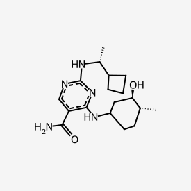 C[C@@H]1CCC(Nc2nc(N[C@H](C)C3CCC3)ncc2C(N)=O)C[C@H]1O